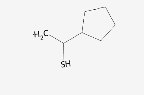 [CH2]C(S)C1CCCC1